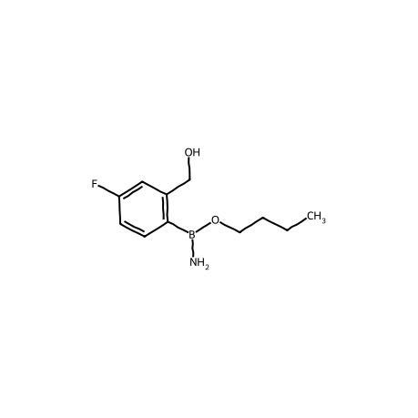 CCCCOB(N)c1ccc(F)cc1CO